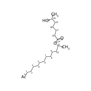 CC(=O)CCCCCCCCCCC(C)OC(=O)CCCCC(C)O